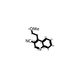 COCCc1c(C#N)cnc2ccccc12